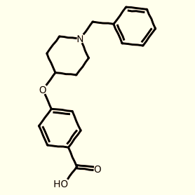 O=C(O)c1ccc(OC2CCN(Cc3ccccc3)CC2)cc1